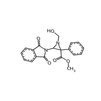 COC(=O)C1(c2ccccc2)C(N2C(=O)c3ccccc3C2=O)N1CO